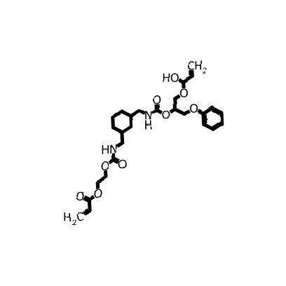 C=CC(=O)OCCOC(=O)NCC1CCCC(CNC(=O)OC(COc2ccccc2)COC(O)C=C)C1